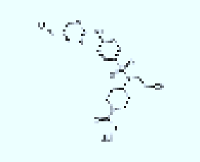 C=Cc1cnc(Nc2ccc(S(=O)(=O)N(CCO)C3CCN(C(=O)OC(C)(C)C)CC3)cc2)nc1